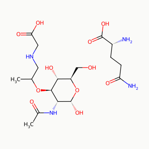 CC(=O)N[C@@H]1[C@@H](OC(C)CNCC(=O)O)[C@H](O)[C@@H](CO)O[C@@H]1O.NC(=O)CC[C@@H](N)C(=O)O